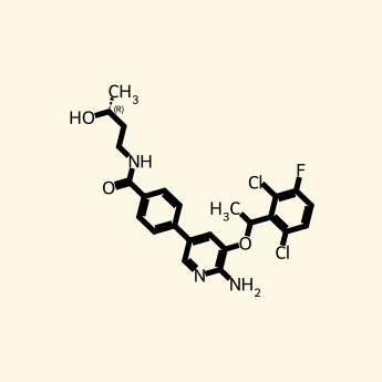 CC(Oc1cc(-c2ccc(C(=O)NCC[C@@H](C)O)cc2)cnc1N)c1c(Cl)ccc(F)c1Cl